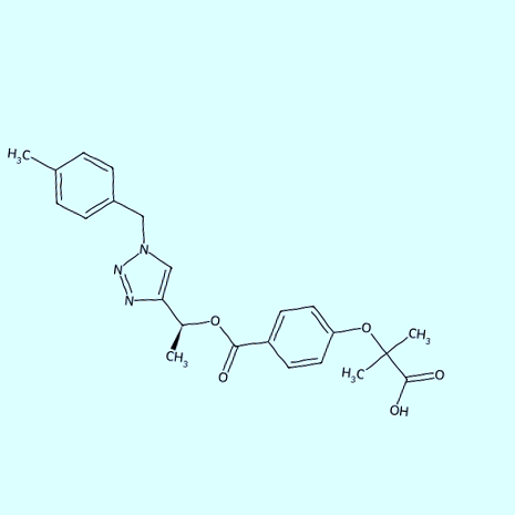 Cc1ccc(Cn2cc([C@H](C)OC(=O)c3ccc(OC(C)(C)C(=O)O)cc3)nn2)cc1